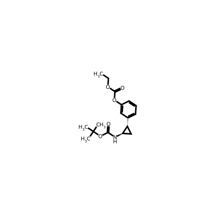 CCOC(=O)Oc1cccc([C@@H]2C[C@H]2NC(=O)OC(C)(C)C)c1